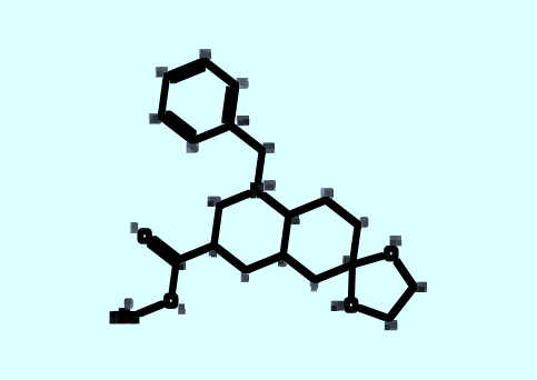 CCCCOC(=O)C1CC2CC3(CCC2N(Cc2ccccc2)C1)OCCO3